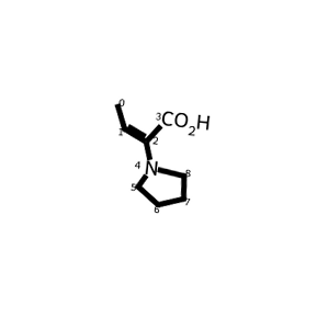 CC=C(C(=O)O)N1CCCC1